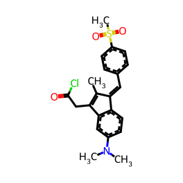 CC1=C(CC(=O)Cl)c2cc(N(C)C)ccc2C1=Cc1ccc(S(C)(=O)=O)cc1